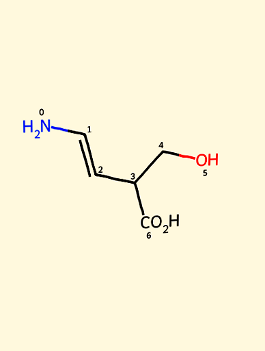 N/C=C/C(CO)C(=O)O